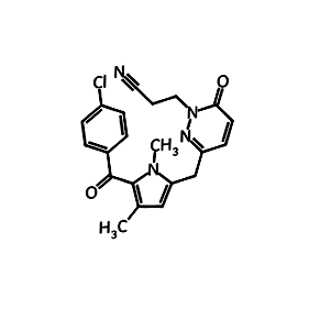 Cc1cc(Cc2ccc(=O)n(CCC#N)n2)n(C)c1C(=O)c1ccc(Cl)cc1